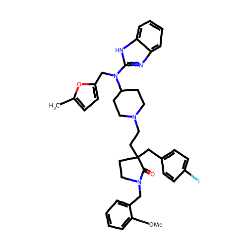 COc1ccccc1CN1CCC(CCN2CCC(N(Cc3ccc(C)o3)c3nc4ccccc4[nH]3)CC2)(Cc2ccc(F)cc2)C1=O